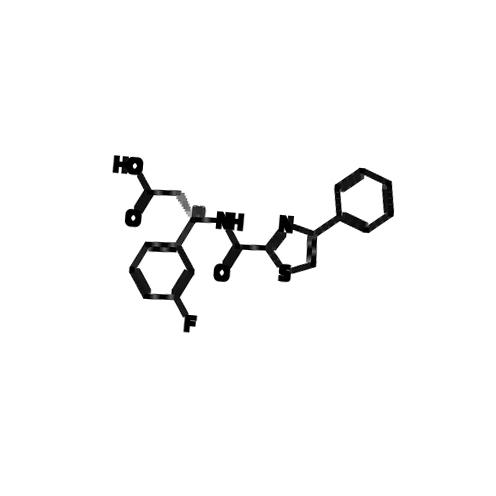 O=C(O)C[C@H](NC(=O)c1nc(-c2ccccc2)cs1)c1cccc(F)c1